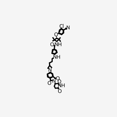 CC1(C)[C@H](NC(=O)c2ccc(NCCCC3CN(c4ccc5c(c4)C(=O)N(C4CCC(=O)NC4=O)C5=O)C3)cc2)C(C)(C)[C@H]1Oc1ccc(C#N)c(Cl)c1